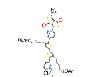 CCCCCCCCCCCCCCc1cc(-c2cc(CCCCCCCCCCCCCC)c(-c3ccc(C4=C5C(=O)SC(C)=C5C(=O)S4)nc3)s2)sc1-c1ccc(C)nc1